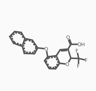 O=C(O)C1=Cc2c(Oc3ccc4ccccc4c3)cccc2OC1C(F)(F)F